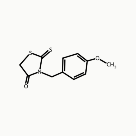 COc1ccc(CN2C(=O)CSC2=S)cc1